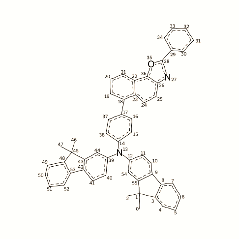 CC1(C)c2ccccc2-c2ccc(N(c3ccc(-c4cccc5c4ccc4nc(-c6ccccc6)oc45)cc3)c3ccc4c(c3)C(C)(C)c3ccccc3-4)cc21